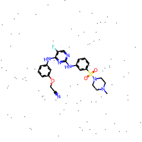 CN1CCN(S(=O)(=O)c2cccc(Nc3ncc(F)c(Nc4cccc(OCC#N)c4)n3)c2)CC1